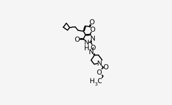 CCOC(=O)N1CCC(=NOc2nc3oc(=O)cc(CCC4CCC4)c3c(=O)[nH]2)CC1